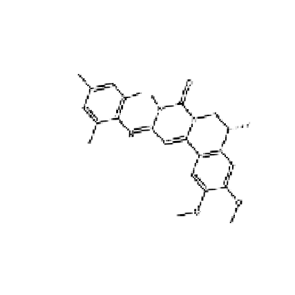 COc1cc2c(cc1OC)[C@@H](C)Cn1c-2c/c(=N/c2c(C)cc(C)cc2C)n(C)c1=O